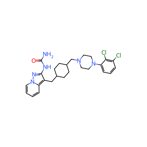 NC(=O)Nc1nn2ccccc2c1CC1CCC(CN2CCN(c3cccc(Cl)c3Cl)CC2)CC1